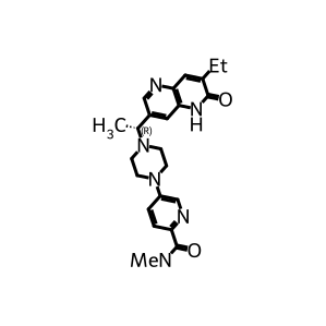 CCc1cc2ncc([C@@H](C)N3CCN(c4ccc(C(=O)NC)nc4)CC3)cc2[nH]c1=O